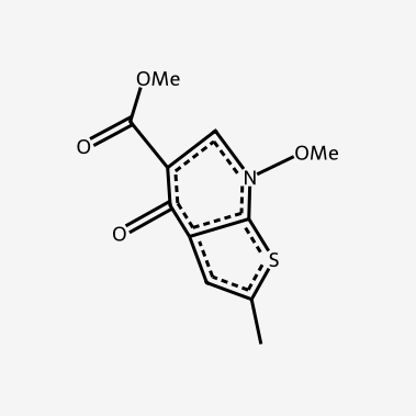 COC(=O)c1cn(OC)c2sc(C)cc2c1=O